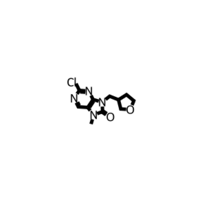 Cn1c(=O)n(CC2CCOC2)c2nc(Cl)ncc21